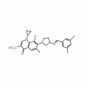 O=C(O)c1cn(C2CC2)c2c(F)c(N3CCC(/N=C/c4cc(F)cc(F)c4)C3)c(F)cc2c1=O